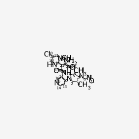 CCCN(CC(C)CNCN=O)c1ccncc1NC(=O)C(C(N)N=O)C1NCC(Cl)CN1C